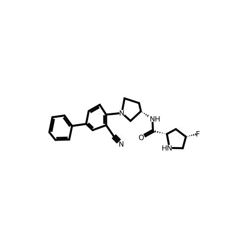 N#Cc1cc(-c2ccccc2)ccc1N1CC[C@H](NC(=O)[C@@H]2C[C@H](F)CN2)C1